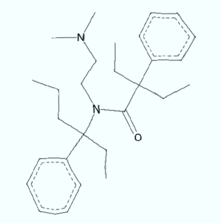 CCCC(CC)(c1ccccc1)N(CCN(C)C)C(=O)C(CC)(CC)c1ccccc1